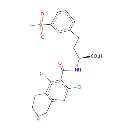 CS(=O)(=O)c1cccc(CC[C@H](NC(=O)c2c(Cl)cc3c(c2Cl)CCNC3)C(=O)O)c1